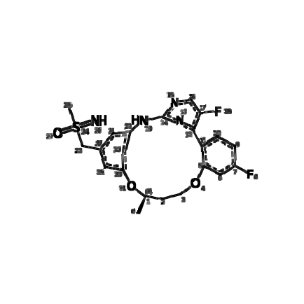 C[C@@H]1CCOc2cc(F)ccc2-c2nc(ncc2F)Nc2cc(CS(C)(=N)=O)cc(c2)O1